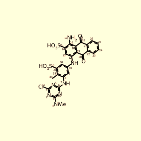 CNc1nc(Cl)nc(Nc2cc(Nc3cc(S(=O)(=O)O)c(N)c4c3C(=O)c3ccccc3C4=O)cc(S(=O)(=O)O)c2C)n1